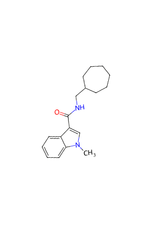 Cn1cc(C(=O)NCC2CCCCCC2)c2ccccc21